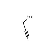 OCC#P